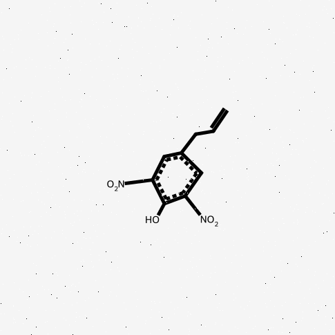 C=CCc1cc([N+](=O)[O-])c(O)c([N+](=O)[O-])c1